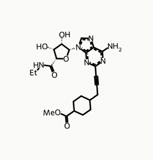 CCNC(=O)[C@H]1O[C@@H](n2cnc3c(N)nc(C#CCC4CCC(C(=O)OC)CC4)nc32)[C@@H](O)[C@H]1O